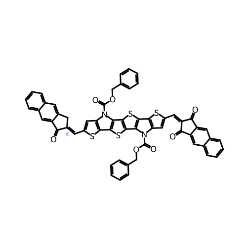 O=C1/C(=C/c2cc3c(s2)c2sc4c(sc5c6sc(C=C7C(=O)c8cc9ccccc9cc8C7=O)cc6n(C(=O)OCc6ccccc6)c54)c2n3C(=O)OCc2ccccc2)Cc2cc3ccccc3cc21